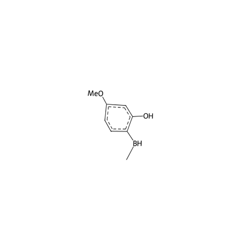 CBc1ccc(OC)cc1O